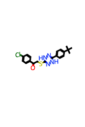 CC(C)(C)c1ccc(C2=NNC(SCC(=O)c3ccc(Cl)cc3)=NN2)cc1